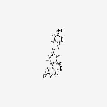 CCc1ccc(CCc2ccc(-c3cc(F)ccc3F)c(F)c2)cc1